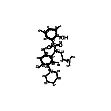 Cc1cc(C)c(O)c(S(=O)(=O)N(CCN(C)C)c2c(C)cc(C)c(N3CCCCC3)c2C)c1